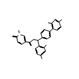 Cc1cc(C(=O)O)ccc1-c1ccc(C(C/C(=N\O)c2ccc(=O)n(C)c2)c2ccc(Cl)cc2F)cc1